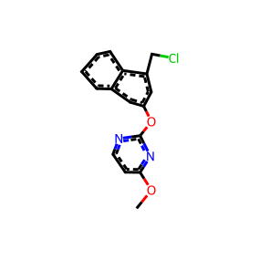 COc1ccnc(Oc2cc(CCl)c3ccccc3c2)n1